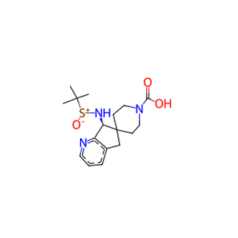 CC(C)(C)[S@@+]([O-])N[C@@H]1c2ncccc2CC12CCN(C(=O)O)CC2